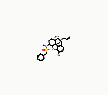 C=CCN1CC[C@]23c4c5ccc(OC(C)=O)c4OC2C(N(C)S(=O)(=O)Cc2ccccc2)CC[C@@]3(OC(C)=O)[C@H]1C5